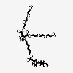 CCC(C)(C)C(C)(C)n1cc(C(=O)OCCCCCCn2nnc(C(=O)OCCOCCOCCOC)c2C(=O)OCCOCCOCCOC)nn1